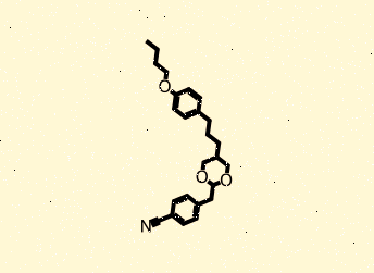 CCCCOc1ccc(CCCC2COC(Cc3ccc(C#N)cc3)OC2)cc1